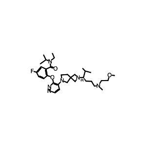 CCN(C(=O)c1cc(F)ccc1Oc1nnccc1N1CCC2(C1)CN([C@H](CCCN(C)CCOC)C(C)C)C2)C(C)C